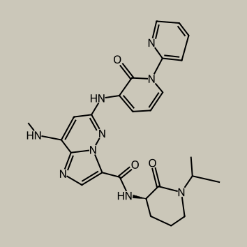 CNc1cc(Nc2cccn(-c3ccccn3)c2=O)nn2c(C(=O)N[C@@H]3CCCN(C(C)C)C3=O)cnc12